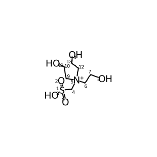 O=S(=O)(O)C[N+](CCO)(CCO)CCO